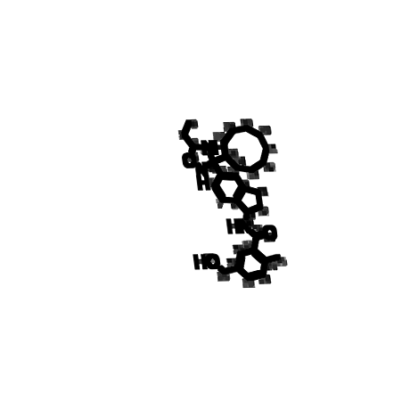 CCC1NC(c2ccc3c(c2)CC[C@H]3NC(=O)c2cc(CO)ccc2C)(C2CCCCCCCC2)NO1